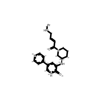 CC(C)NCC=CC(=O)N1CCC[C@@H](Nc2cc(-c3ccncc3)c[nH]c2=O)C1